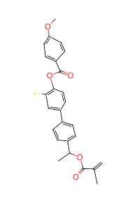 C=C(C)C(=O)OC(C)c1ccc(-c2ccc(OC(=O)c3ccc(OC)cc3)c(F)c2)cc1